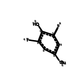 CC(C)(C)c1cc(F)c(O)c(F)c1